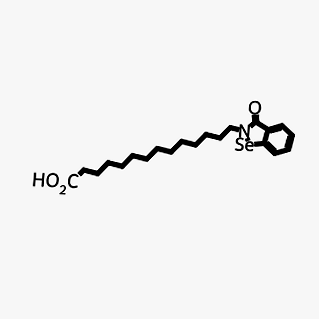 O=C(O)CCCCCCCCCCCCCn1[se]c2ccccc2c1=O